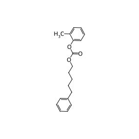 Cc1ccccc1OC(=O)OCCCCCc1ccccc1